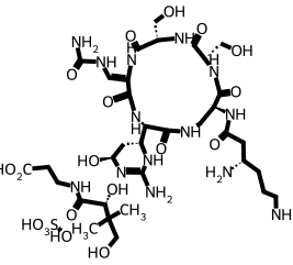 CC(C)(CO)[C@@H](O)C(=O)NCCC(=O)O.NCCC[C@H](N)CC(=O)N[C@H]1CNC(=O)[C@H]([C@H]2C[C@H](O)N=C(N)N2)NC(=O)/C(=C/NC(N)=O)NC(=O)[C@H](CO)NC(=O)[C@H](CO)NC1=O.O=S(=O)(O)O